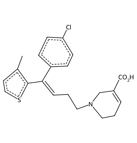 Cc1ccsc1C(=CCCN1CCC=C(C(=O)O)C1)c1ccc(Cl)cc1